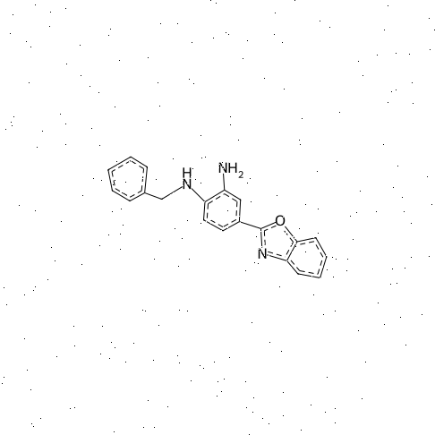 Nc1cc(-c2nc3ccccc3o2)ccc1NCc1ccccc1